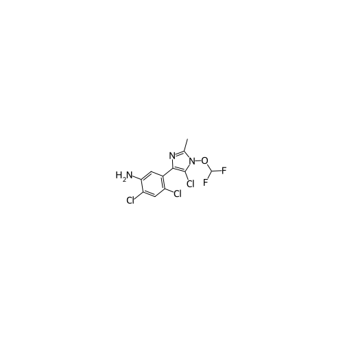 Cc1nc(-c2cc(N)c(Cl)cc2Cl)c(Cl)n1OC(F)F